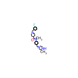 C[C@H]1CN(Cc2ccc(N(C)C(=O)C3CCN(Cc4cccc(F)c4)CC3)cc2)CCN1